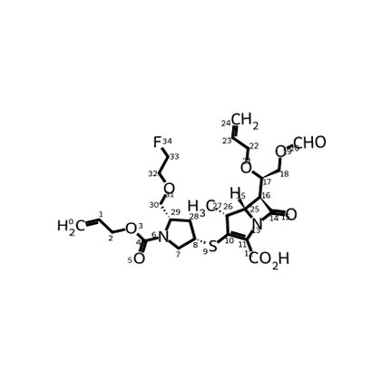 C=CCOC(=O)N1C[C@@H](SC2=C(C(=O)O)N3C(=O)[C@H]([C@H](COC=O)OCC=C)[C@H]3[C@H]2C)C[C@H]1COCCF